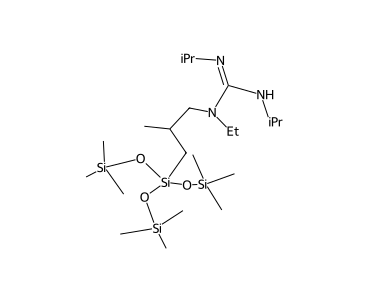 CCN(CC(C)C[Si](O[Si](C)(C)C)(O[Si](C)(C)C)O[Si](C)(C)C)/C(=N\C(C)C)NC(C)C